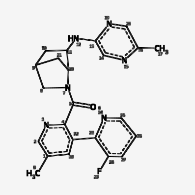 Cc1cnc(C(=O)N2CC3CC(Nc4cnc(C)cn4)C2C3)c(-c2ncccc2F)c1